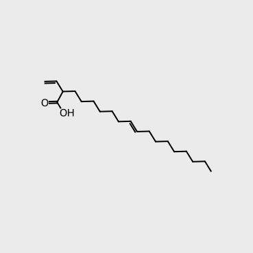 C=CC(CCCCCCC=CCCCCCCCC)C(=O)O